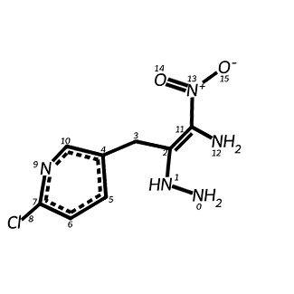 NNC(Cc1ccc(Cl)nc1)=C(N)[N+](=O)[O-]